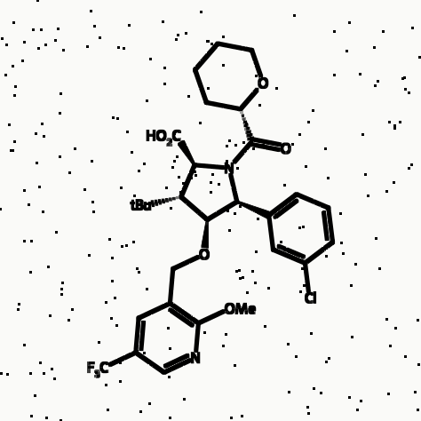 COc1ncc(C(F)(F)F)cc1CO[C@H]1[C@H](C(C)(C)C)[C@@H](C(=O)O)N(C(=O)[C@@H]2CCCCO2)[C@H]1c1cccc(Cl)c1